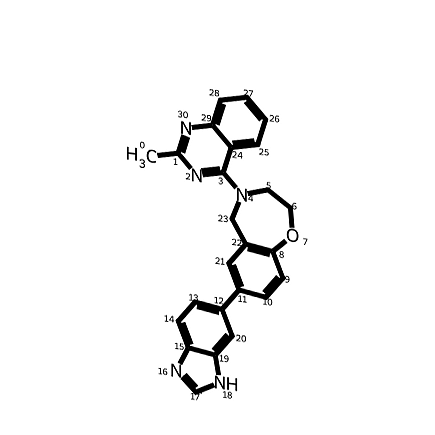 Cc1nc(N2CCOc3ccc(-c4ccc5n[c][nH]c5c4)cc3C2)c2ccccc2n1